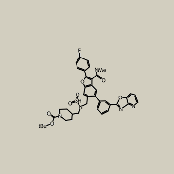 CNC(=O)c1c(-c2ccc(F)cc2)oc2cc(CN(CC3CCN(C(=O)OC(C)(C)C)CC3)[SH](=O)=O)c(-c3cccc(-c4nc5ncccc5o4)c3)cc12